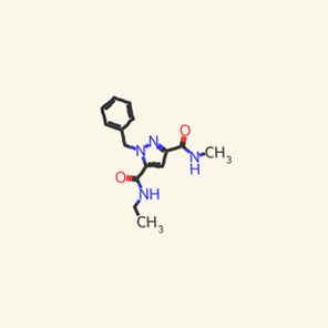 CCNC(=O)c1cc(C(=O)NC)nn1Cc1ccccc1